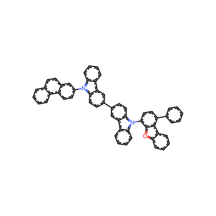 c1ccc(-c2ccc(-n3c4ccccc4c4cc(-c5ccc6c(c5)c5ccccc5n6-c5ccc6c(ccc7ccccc76)c5)ccc43)c3oc4ccccc4c23)cc1